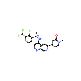 C[C@@H](Nc1ccnc2cnc(-c3ccn(C)c(=O)c3)cc12)c1cccc(C(F)F)c1F